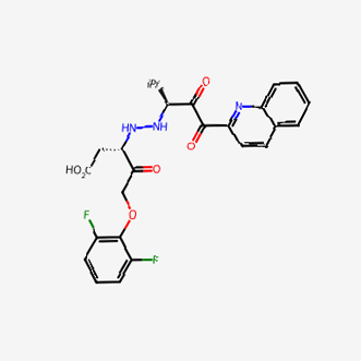 CC(C)[C@H](NN[C@@H](CC(=O)O)C(=O)COc1c(F)cccc1F)C(=O)C(=O)c1ccc2ccccc2n1